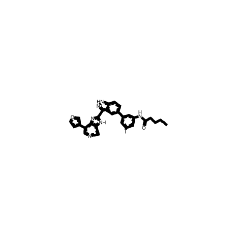 CCCCC(=O)Nc1cc(I)cc(-c2ccc3[nH]nc(-c4nc5c(-c6ccoc6)cncc5[nH]4)c3c2)c1